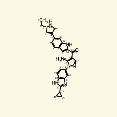 CCN1C=C(c2ccc3cc(C(=O)c4cnn(-c5ccc6[nH]c(C7CC7)nc6c5)c4N)[nH]c3c2)CN1